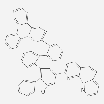 c1ccc(-c2ccccc2-c2cc(-c3ccc4ccc5cccnc5c4n3)cc3oc4ccccc4c23)c(-c2ccc3c4ccccc4c4ccccc4c3c2)c1